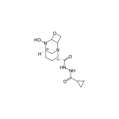 O=C(NNC(=O)[C@@H]1CC[C@@H]2CN1C1COC1N2O)C1CC1